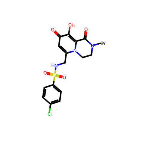 CC(C)N1CCn2c(CNS(=O)(=O)c3ccc(Cl)cc3)cc(=O)c(O)c2C1=O